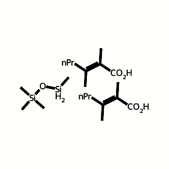 CCCC(C)=C(C)C(=O)O.CCCC(C)=C(C)C(=O)O.C[SiH2]O[Si](C)(C)C